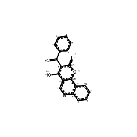 O=C(c1ccccc1)c1c(O)c2ccc3ccccc3c2oc1=O